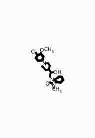 COc1cc(N2CCC(C(O)Cn3c(=O)n(C)c4ccccc43)CC2)ccc1Cl